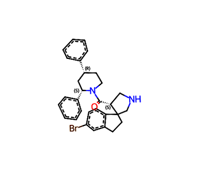 O=C([C@@H]1CNCC12CCc1cc(Br)ccc12)N1CC[C@@H](c2ccccc2)C[C@H]1c1ccccc1